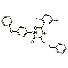 O=C(NC(COCc1ccccc1)C(=O)Nc1ccc(Oc2ccccc2)cc1)c1cc(F)ccc1Br